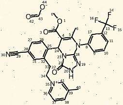 COC(=O)C1=C(C)N(c2cccc(C(F)(F)F)c2)c2n[nH]c(=O)n2C1c1ccc(C#N)cc1CC[n+]1cccc(C)c1.O=C[O-]